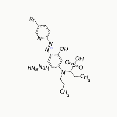 CCCN(c1ccc(/N=N/c2ccc(Br)cn2)c(O)c1)C(CC)S(=O)(=O)O.[NaH].[NaH]